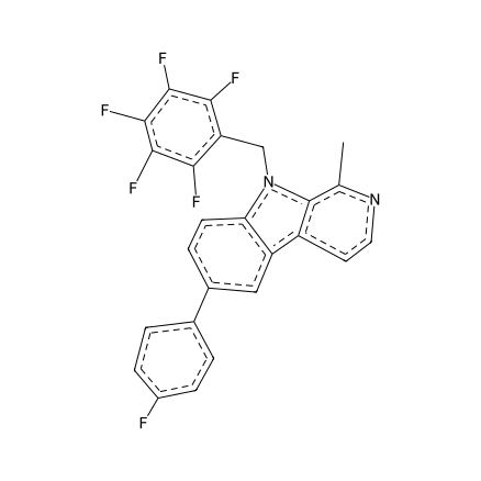 Cc1nccc2c3cc(-c4ccc(F)cc4)ccc3n(Cc3c(F)c(F)c(F)c(F)c3F)c12